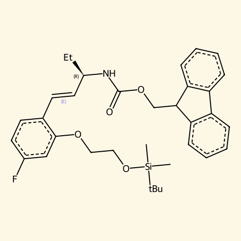 CC[C@H](/C=C/c1ccc(F)cc1OCCO[Si](C)(C)C(C)(C)C)NC(=O)OCC1c2ccccc2-c2ccccc21